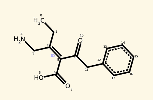 CC/C(CN)=C(/C(=O)O)C(=O)Cc1ccccc1